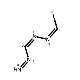 N=N/C=N\N=C/I